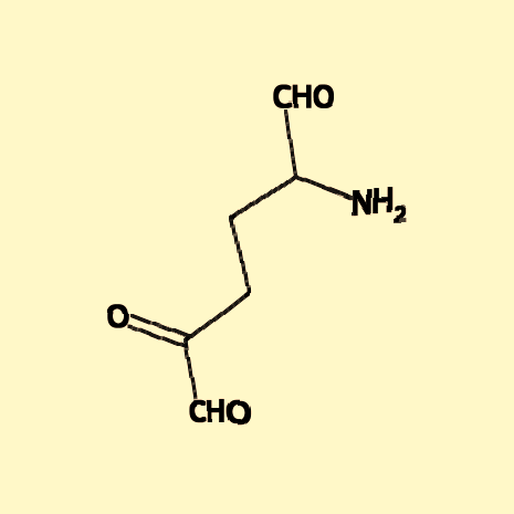 NC(C=O)CCC(=O)C=O